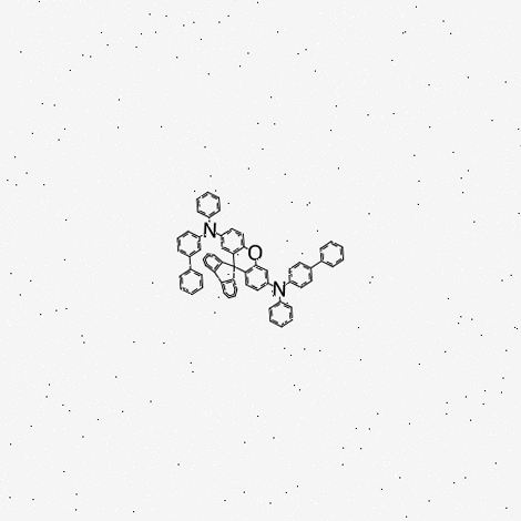 c1ccc(-c2ccc(N(c3ccccc3)c3ccc4c(c3)Oc3ccc(N(c5ccccc5)c5cccc(-c6ccccc6)c5)cc3C43c4ccccc4-c4ccccc43)cc2)cc1